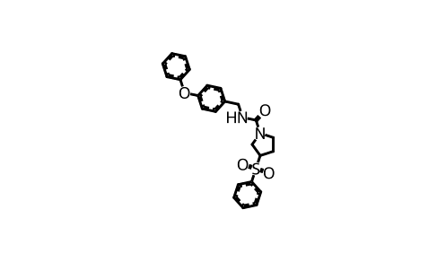 O=C(NCc1ccc(Oc2ccccc2)cc1)N1CCC(S(=O)(=O)c2ccccc2)C1